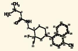 CN(C)CC(=O)NCC1CCN(c2ccc(C#N)c3ncccc23)CC1(F)F